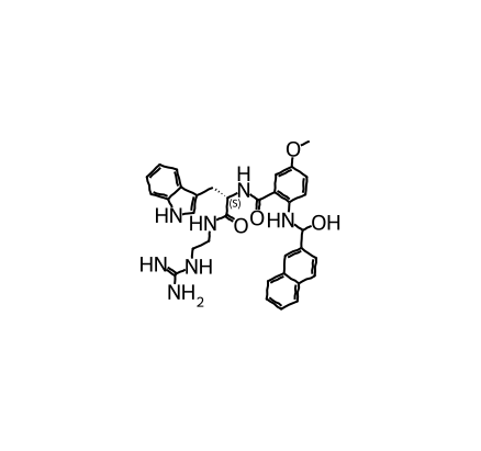 COc1ccc(NC(O)c2ccc3ccccc3c2)c(C(=O)N[C@@H](Cc2c[nH]c3ccccc23)C(=O)NCCNC(=N)N)c1